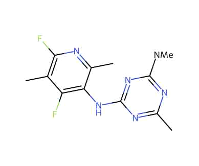 CNc1nc(C)nc(Nc2c(C)nc(F)c(C)c2F)n1